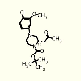 COc1cc(N2CCN(C(=O)OC(C)(C)C)[C@@H](CC(C)=O)C2)ccc1Cl